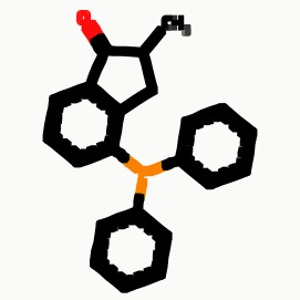 CC1Cc2c(cccc2P(c2ccccc2)c2ccccc2)C1=O